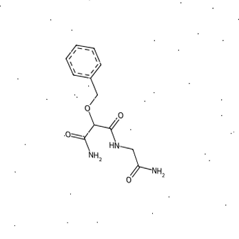 NC(=O)CNC(=O)C(OCc1ccccc1)C(N)=O